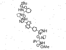 COC(=O)N[C@H](C(=O)N1CCC[C@H]1c1nc(-c2ccc(-c3csc4c(-c5cnc(C6CCCN6C(=O)[C@H](NC(=O)OC(C)(C)C)c6ccccc6)[nH]5)csc34)cc2)c[nH]1)C(C)C